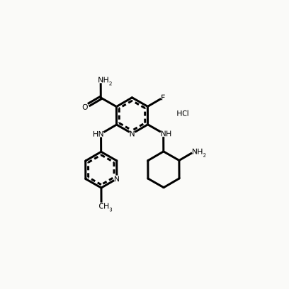 Cc1ccc(Nc2nc(NC3CCCCC3N)c(F)cc2C(N)=O)cn1.Cl